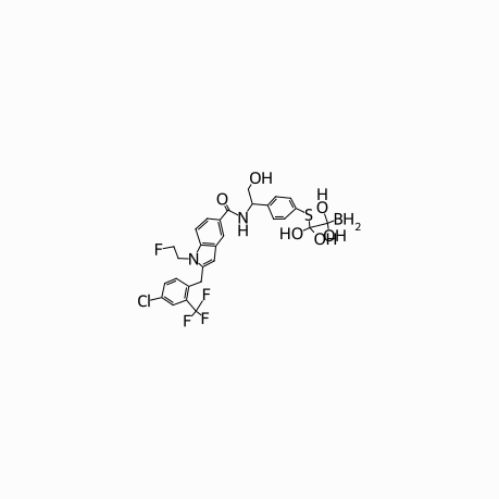 BC(O)(O)C(O)(O)Sc1ccc(C(CO)NC(=O)c2ccc3c(c2)cc(Cc2ccc(Cl)cc2C(F)(F)F)n3CCF)cc1